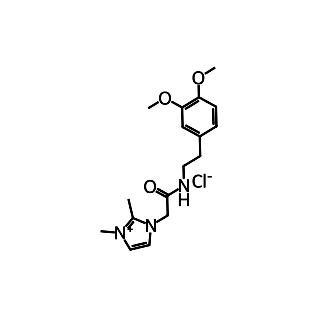 COc1ccc(CCNC(=O)Cn2cc[n+](C)c2C)cc1OC.[Cl-]